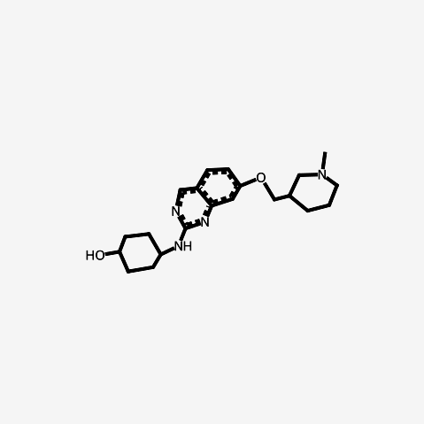 CN1CCCC(COc2ccc3cnc(NC4CCC(O)CC4)nc3c2)C1